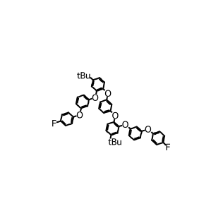 CC(C)(C)c1ccc(Oc2cccc(Oc3ccc(C(C)(C)C)cc3Oc3cccc(Oc4ccc(F)cc4)c3)c2)c(Oc2cccc(Oc3ccc(F)cc3)c2)c1